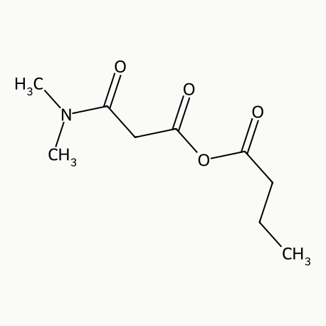 CCCC(=O)OC(=O)CC(=O)N(C)C